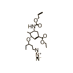 C=CCOC(=O)N[C@H]1CC(C(=O)OCC)=C[C@@H](OC(CC)CCN=[N+]=[N-])C1C